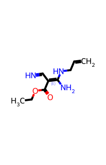 C=CCN/C(N)=C(\C=N)C(=O)OCC